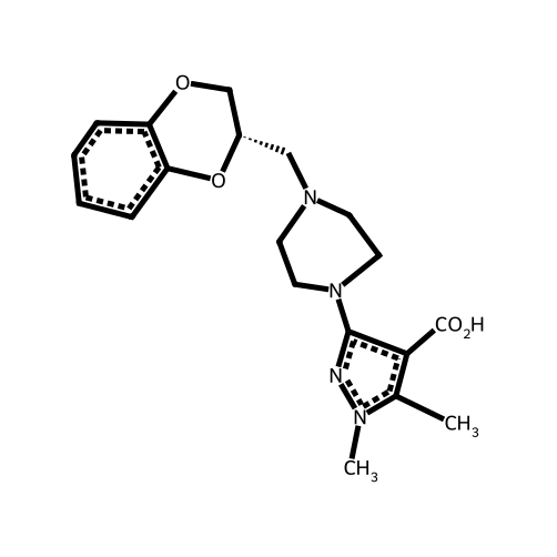 Cc1c(C(=O)O)c(N2CCN(C[C@H]3COc4ccccc4O3)CC2)nn1C